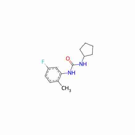 Cc1ccc(F)cc1NC(=O)NC1CCCC1